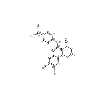 O=C1COCC(c2ccc(F)c(F)c2)N1C(=O)Oc1ccc([N+](=O)[O-])cc1